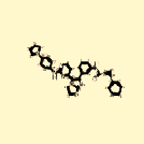 O=C(Nc1cccc(-c2nc3sccn3c2-c2ccnc(Nc3ccc(N4CCCC4)cc3)n2)c1)[C@@H]1C[C@H]1c1ccccc1